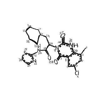 Cc1cc(Cl)cc2c(=O)n(C(CC3CCCCC3)C(=O)Nc3nccs3)c(=O)[nH]c12